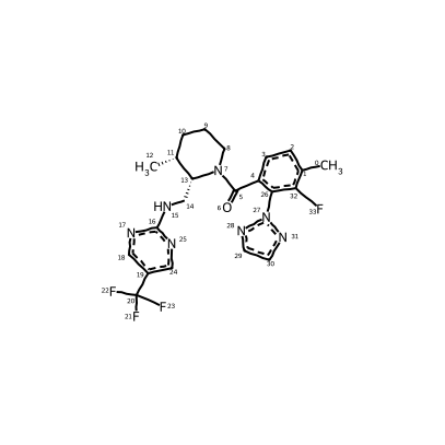 Cc1ccc(C(=O)N2CCC[C@@H](C)[C@H]2CNc2ncc(C(F)(F)F)cn2)c(-n2nccn2)c1F